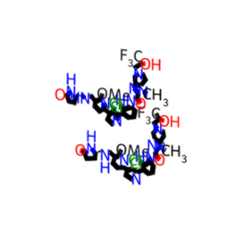 COc1nc(-c2ccnc(-c3cccc(NC(=O)c4nc5c(n4C)CCN(CC(O)C(F)(F)F)C5)c3Cl)c2Cl)ccc1CNC[C@@H]1CCC(=O)N1.COc1nc(-c2ccnc(-c3cccc(NC(=O)c4nc5c(n4C)CCN(CC(O)C(F)(F)F)C5)c3Cl)c2Cl)ccc1CNC[C@@H]1CCC(=O)N1